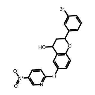 O=[N+]([O-])c1ccc(Oc2ccc3c(c2)C(O)CC(c2cccc(Br)c2)O3)nc1